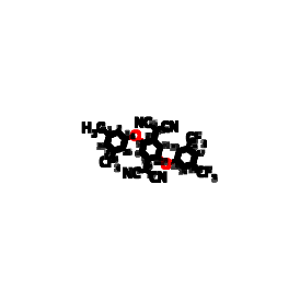 Cc1cc(Oc2cc(=C(C#N)C#N)c(Oc3cc(C(F)(F)F)cc(C(F)(F)F)c3)cc2=C(C#N)C#N)cc(C(F)(F)F)c1